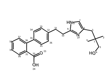 CC(C)(CO)Cc1c[nH]c(CCc2ccc(-c3ccccc3C(=O)O)cc2)n1